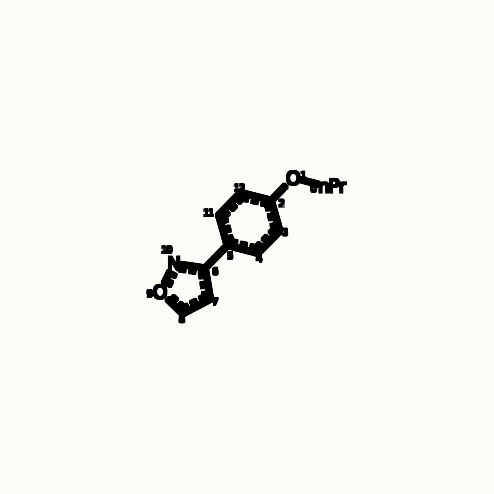 CCCOc1ccc(-c2ccon2)cc1